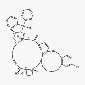 C[C@H](C[C@H]1CC/C=C\[C@H](O)[C@@H]2CC[C@H]2CN2CCCCc3cc(Cl)ccc3COc3ccc(cc32)C(=O)NS1(=O)=O)O[Si](c1ccccc1)(c1ccccc1)C(C)(C)C